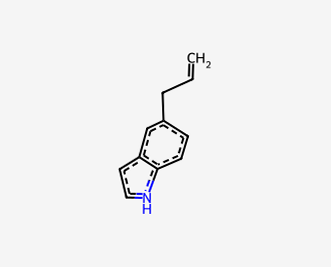 C=CCc1ccc2[nH]ccc2c1